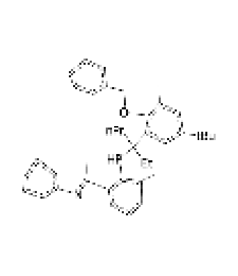 CCCC(CC)(Pc1c(C)cccc1/C(C)=N/c1ccccc1)c1cc(C(C)(C)C)cc(C)c1OCc1ccccc1